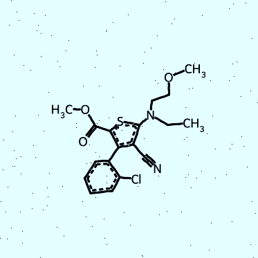 CCN(CCOC)c1sc(C(=O)OC)c(-c2ccccc2Cl)c1C#N